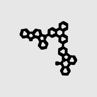 O=c1c2ccccc2c2cccc3c4cc(-c5ccc6c7ccccc7c7ccc(-n8c9ccccc9c9c%10oc%11ccccc%11c%10ccc98)cc7c6c5)ccc4n1c23